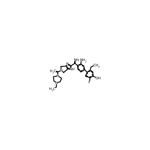 C=C(N1CCN(CC)CC1)N1Cc2nc(C(=N)c3ccc(-c4cc(F)c(O)cc4CC)cc3N)[nH]c2C1